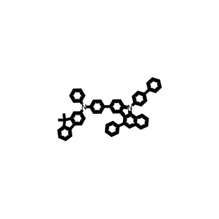 CC1(C)c2ccccc2-c2ccc(N(c3ccccc3)c3ccc(-c4ccc5c(c4)c4c(-c6ccccc6)cc6ccccc6c4n5-c4ccc(-c5ccccc5)cc4)cc3)cc21